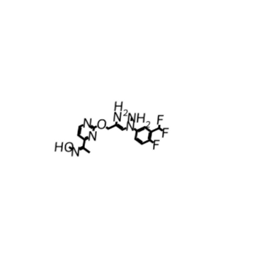 C/C(=N/O)c1ccnc(OC/C(N)=C/N(N)c2ccc(F)c(C(F)F)c2)n1